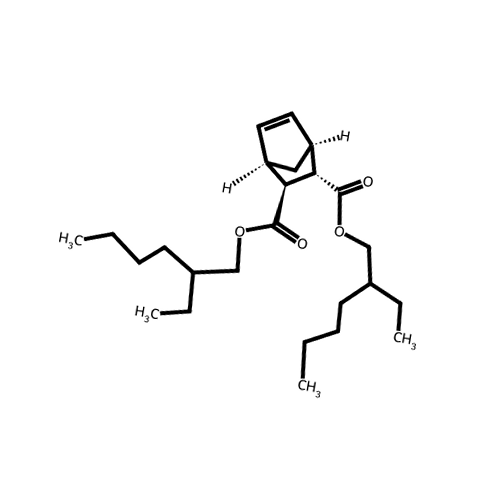 CCCCC(CC)COC(=O)[C@@H]1[C@@H](C(=O)OCC(CC)CCCC)[C@H]2C=C[C@@H]1C2